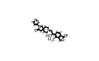 Cc1c([C@@H](O)CN2CCC3(CC2)CC(=O)N(c2ccns2)C3)ccc2c1COC2=O